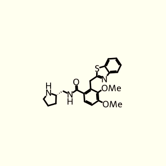 COc1ccc(C(=O)NC[C@@H]2CCCN2)c(Cc2nc3ccccc3s2)c1OC